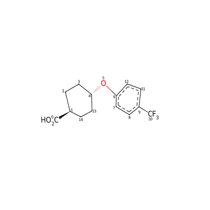 O=C(O)[C@H]1CC[C@H](Oc2ccc(C(F)(F)F)cc2)CC1